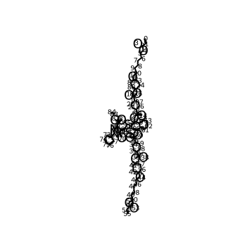 C=CC(=O)OCCCCCCOC1CCC(OC(=O)C2CCC(C(=O)Oc3c4c(c(OC(=O)C5CCC(C(=O)OC6CCC(OCCCCCCOC(=O)C=C)CC6)CC5)c5ccccc35)SC(=C3C(=O)N(c5ccccc5)N=C3C(=O)OCC)S4)CC2)CC1